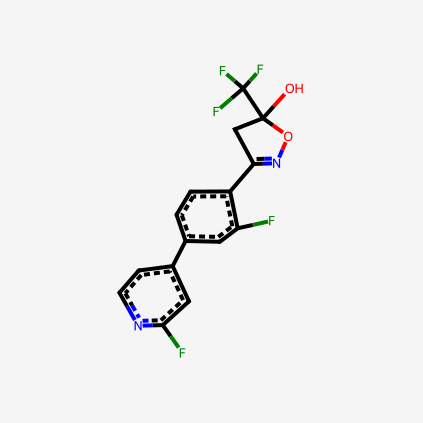 OC1(C(F)(F)F)CC(c2ccc(-c3ccnc(F)c3)cc2F)=NO1